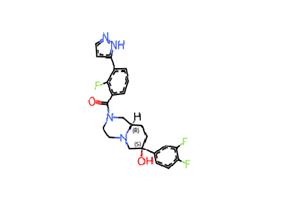 O=C(c1cccc(-c2ccn[nH]2)c1F)N1CCN2C[C@@](O)(c3ccc(F)c(F)c3)CC[C@@H]2C1